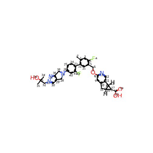 Cc1cc(F)c(COc2cc3c(cn2)[C@H]2[C@@H](C3)[C@@H]2C(=O)O)cc1-c1ccc(N2Cc3cn(CC(C)(C)O)nc3C2)cc1F